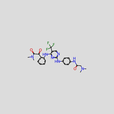 CN(C)CC(=O)Nc1ccc(Nc2ncc(C(F)(F)F)c(Nc3ccccc3C(=O)C(=O)N(C)C)n2)cc1